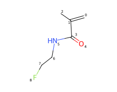 C=C(C)C(=O)NCCF